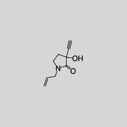 C#CC1(O)CCN(CC=C)C1=O